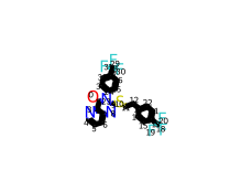 O=c1c2ncccc2nc(SCCc2ccc(C(F)(F)F)cc2)n1-c1ccc(C(F)(F)F)cc1